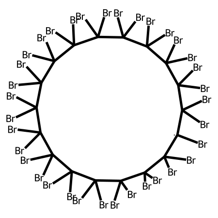 Br[C]1C(Br)(Br)C(Br)(Br)C(Br)(Br)C(Br)(Br)C(Br)(Br)C(Br)(Br)C(Br)(Br)C(Br)(Br)C(Br)(Br)C(Br)(Br)C(Br)(Br)C(Br)(Br)C(Br)(Br)C(Br)(Br)C(Br)(Br)C(Br)(Br)C1(Br)Br